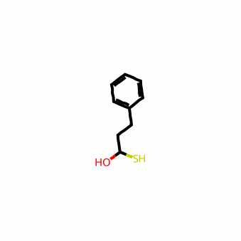 OC(S)CCc1ccccc1